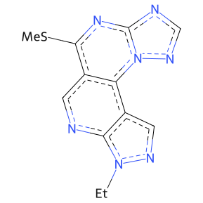 CCn1ncc2c1ncc1c(SC)nc3ncnn3c12